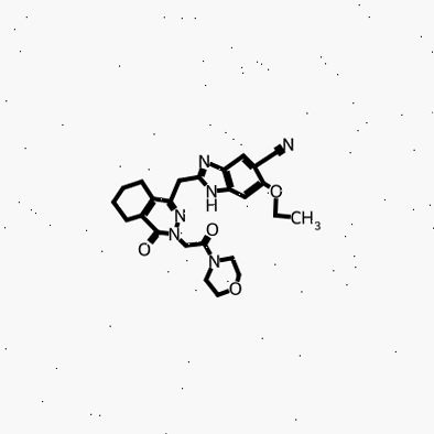 CCOc1cc2[nH]c(Cc3nn(CC(=O)N4CCOCC4)c(=O)c4c3CCCC4)nc2cc1C#N